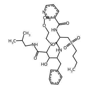 CCCCS(=O)(=O)CC(NC(=O)c1cccnc1)C(=O)NC(Cc1ccccc1)C(O)C(SCCOC)C(=O)NCC(C)C